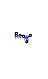 c1ccc(-c2nc(-c3ccccc3)nc(-c3ccc4c(c3)sc3nc(-c5nccc6ccccc56)ccc34)n2)cc1